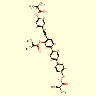 C=C(C)C(=O)OCc1ccc(-c2ccc(-c3ccc(C#Cc4ccc(OC(=O)C(=C)C)cc4)c(OC(=O)C(=C)C)c3)cc2)cc1